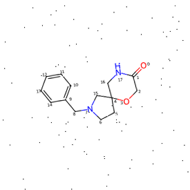 O=C1COC2(CCN(Cc3ccccc3)C2)CN1